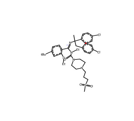 CCOc1cc(C(C)(C)C)ccc1/C(=N/C(C)(Cc1ccc(Cl)cc1)c1ccc(Cl)cc1)N(CC)C(=O)N1CCN(CCCS(C)(=O)=O)CC1